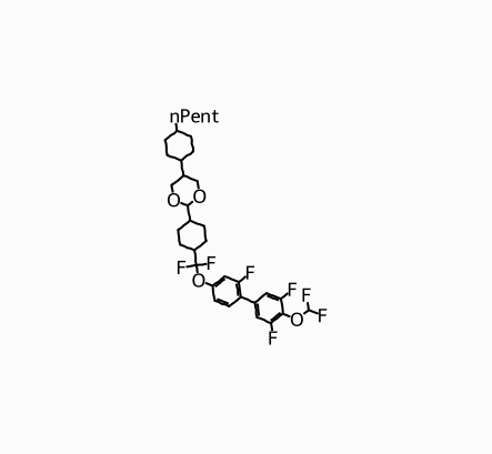 CCCCCC1CCC(C2COC(C3CCC(C(F)(F)Oc4ccc(-c5cc(F)c(OC(F)F)c(F)c5)c(F)c4)CC3)OC2)CC1